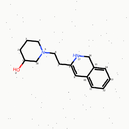 OC1CCCN(CCC2=Cc3ccccc3CN2)C1